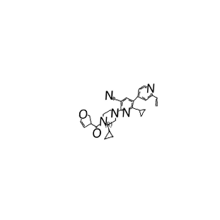 C=Cc1cc(-c2cc(C#N)c(N3CCN(C(=O)C4C=COC4)[C@H](C4CC4)C3)nc2C2CC2)ccn1